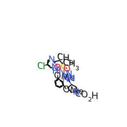 COc1cccc(OC)c1-n1c(NS(=O)(=O)C(C)C(C)c2ncc(Cl)cn2)nnc1[C@@H]1CCN(C(=O)O)C1